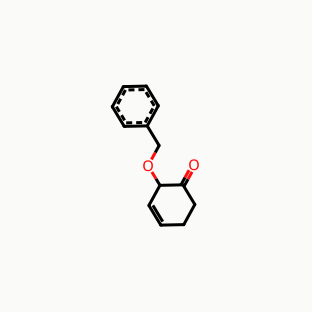 O=C1CCC=CC1OCc1ccccc1